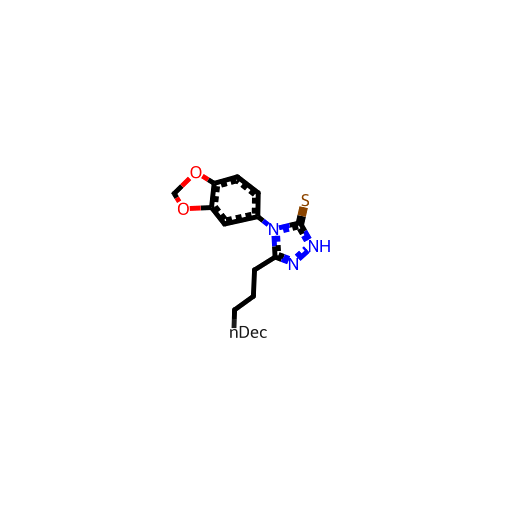 CCCCCCCCCCCCCc1n[nH]c(=S)n1-c1ccc2c(c1)OCO2